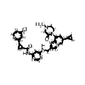 CN1CCN(c2cc(C3CC3)cn3cc(CNc4cc(NC(=O)C5CC5c5cc(Cl)ccn5)ncn4)nc23)C(=O)C1